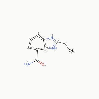 CCc1nc2cccc(C(N)=O)c2[nH]1